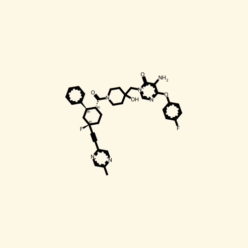 Cc1cnc(C#C[C@@]2(F)CC[C@@H](C(=O)N3CCC(O)(Cn4cnc(Oc5ccc(F)cc5)c(N)c4=O)CC3)[C@H](c3ccccc3)C2)cn1